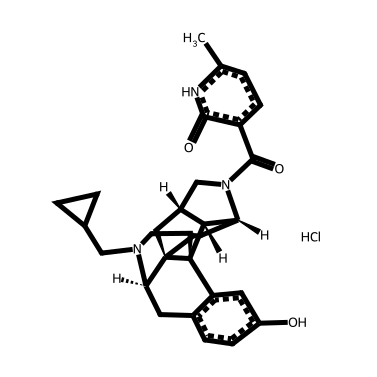 Cc1ccc(C(=O)N2C[C@H]3C[C@@]45CC[C@@H]2[C@@H]3[C@@]42CCN(CC3CC3)[C@@H]5Cc3ccc(O)cc32)c(=O)[nH]1.Cl